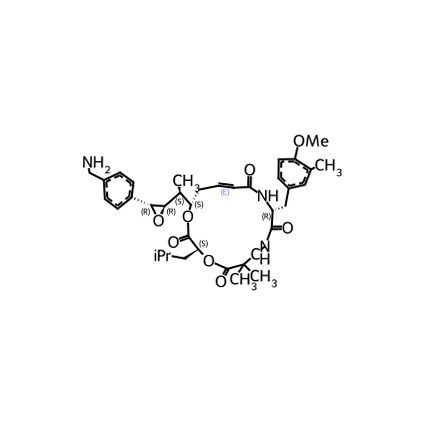 COc1ccc(C[C@H]2NC(=O)/C=C/C[C@@H]([C@H](C)[C@H]3O[C@@H]3c3ccc(CN)cc3)OC(=O)[C@H](CC(C)C)OC(=O)C(C)(C)CNC2=O)cc1C